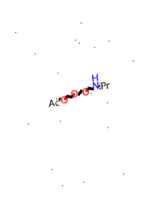 CC(=O)COCCOCCOCCNC(C)C